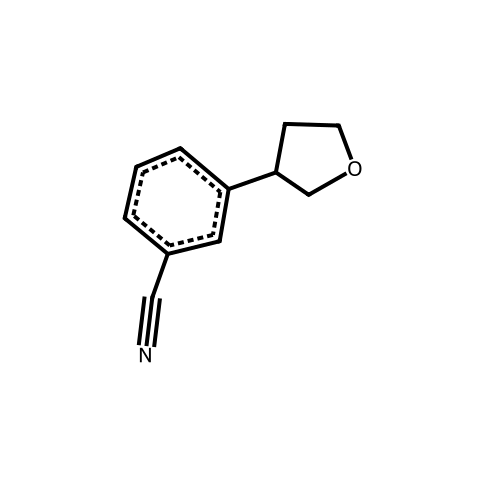 N#Cc1cccc(C2CCOC2)c1